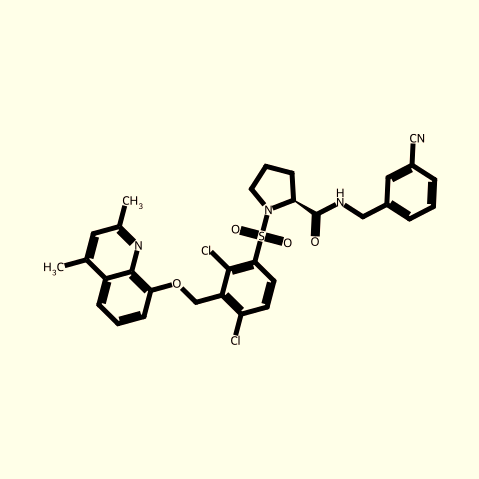 Cc1cc(C)c2cccc(OCc3c(Cl)ccc(S(=O)(=O)N4CCC[C@H]4C(=O)NCc4cccc(C#N)c4)c3Cl)c2n1